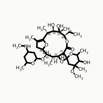 CC[C@H]1OC(=O)[C@H]2[C@@H](OC23CC(C)(OC)C(O)C(C)O3)[C@H](C)[C@@H](OC2CC(NC)CC(C)O2)[C@@]2(C)CC(C)=C(O2)[C@H](C)[C@@H](O)[C@]1(C)O